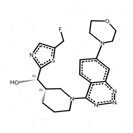 O[C@H](c1ncc(CF)s1)[C@H]1CCCN(c2nnnc3cc(N4CCOCC4)ccc23)C1